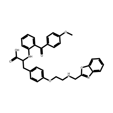 COc1ccc(C(=O)c2ccccc2NC(Cc2ccc(OCCNCc3nc4ccccc4o3)cc2)C(=O)O)cc1